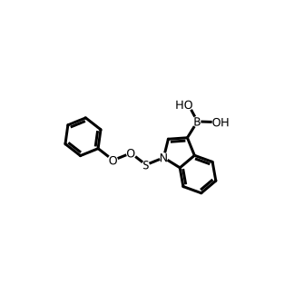 OB(O)c1cn(SOOc2ccccc2)c2ccccc12